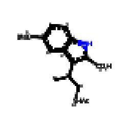 COc1ccc2[nH]c(C(=O)O)c(C(C)CNC(C)=O)c2c1